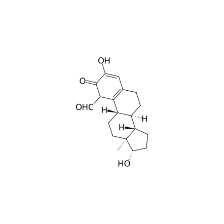 C[C@]12CC[C@@H]3C4=C(C=C(O)C(=O)C4C=O)CC[C@H]3[C@@H]1CC[C@@H]2O